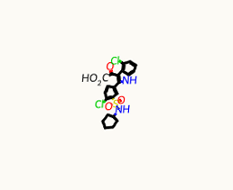 O=C(O)C(=O)c1c(-c2ccc(Cl)c(S(=O)(=O)NC3CCCCC3)c2)[nH]c2cccc(Cl)c12